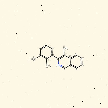 Cc1cccc(-c2ncc3ccccc3c2C)c1C